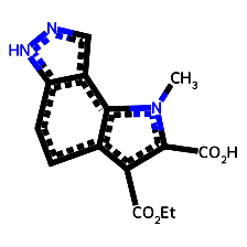 CCOC(=O)c1c(C(=O)O)n(C)c2c1ccc1[nH]ncc12